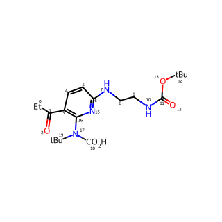 CCC(=O)c1ccc(NCCNC(=O)OC(C)(C)C)nc1N(C(=O)O)C(C)(C)C